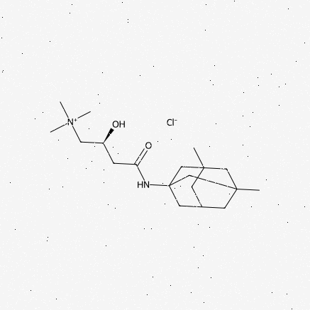 CC12CC3CC(C)(C1)CC(NC(=O)C[C@H](O)C[N+](C)(C)C)(C3)C2.[Cl-]